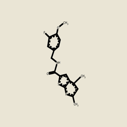 COc1ccc(CNC(=O)c2cc3c(C)cc(C)nc3s2)cc1F